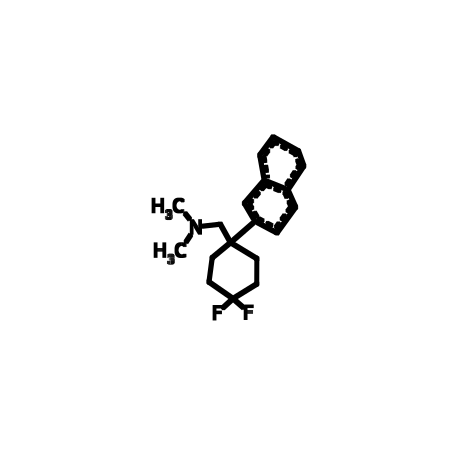 CN(C)CC1(c2ccc3ccccc3c2)CCC(F)(F)CC1